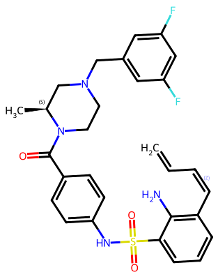 C=C/C=C\c1cccc(S(=O)(=O)Nc2ccc(C(=O)N3CCN(Cc4cc(F)cc(F)c4)C[C@@H]3C)cc2)c1N